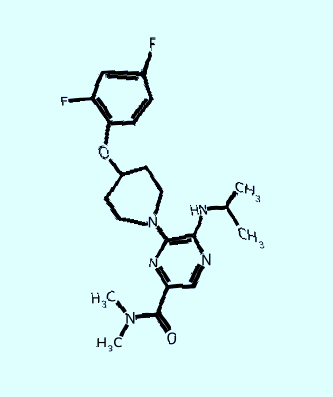 CC(C)Nc1ncc(C(=O)N(C)C)nc1N1CCC(Oc2ccc(F)cc2F)CC1